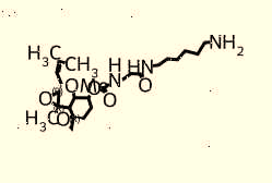 COC1C(OC(=O)NCCC(=O)NCCCCCCN)CC[C@]2(CO2)C1[C@@]1(C)O[C@@H]1CC=C(C)C